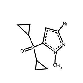 Cn1nc(Br)cc1P(=O)(C1CC1)C1CC1